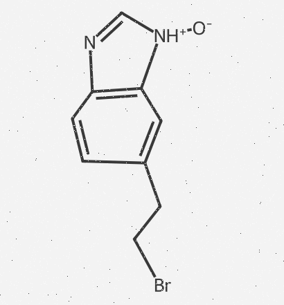 [O-][NH+]1C=Nc2ccc(CCBr)cc21